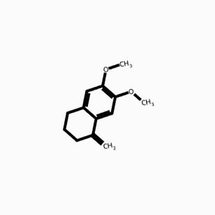 C=C1CCCc2cc(OC)c(OC)cc21